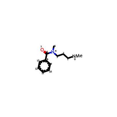 CNCCCN(C)C(=O)c1ccccc1